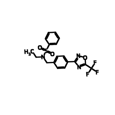 CCN(Cc1ccc(-c2noc(C(F)(F)F)n2)cc1)S(=O)(=O)c1ccccc1